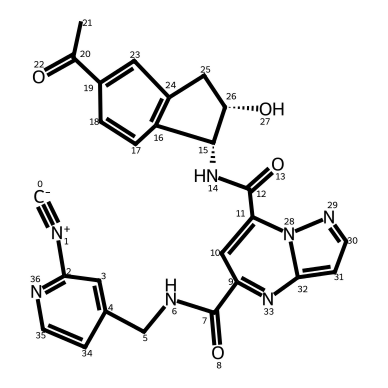 [C-]#[N+]c1cc(CNC(=O)c2cc(C(=O)N[C@@H]3c4ccc(C(C)=O)cc4C[C@@H]3O)n3nccc3n2)ccn1